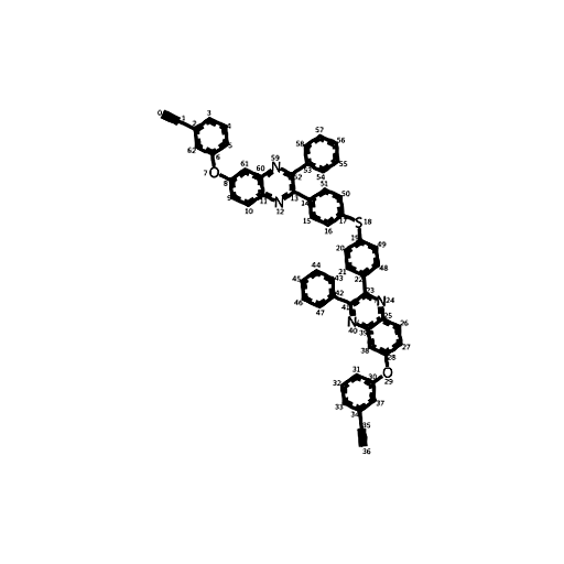 C#Cc1cccc(Oc2ccc3nc(-c4ccc(Sc5ccc(-c6nc7ccc(Oc8cccc(C#C)c8)cc7nc6-c6ccccc6)cc5)cc4)c(-c4ccccc4)nc3c2)c1